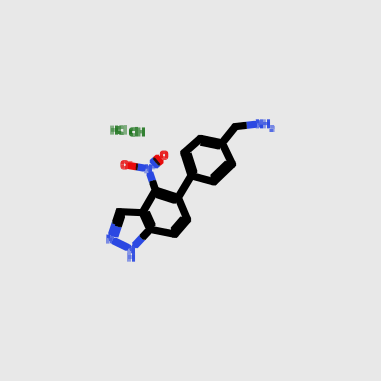 Cl.Cl.NCc1ccc(-c2ccc3[nH]ncc3c2[N+](=O)[O-])cc1